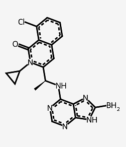 Bc1nc2c(N[C@@H](C)c3cc4cccc(Cl)c4c(=O)n3C3CC3)ncnc2[nH]1